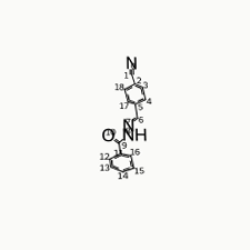 N#Cc1ccc(C=NNC(=O)c2ccccc2)cc1